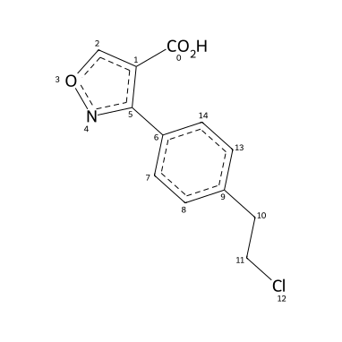 O=C(O)c1conc1-c1ccc(CCCl)cc1